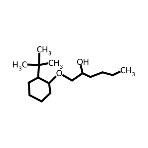 CCCCC(O)COC1CCCCC1C(C)(C)C